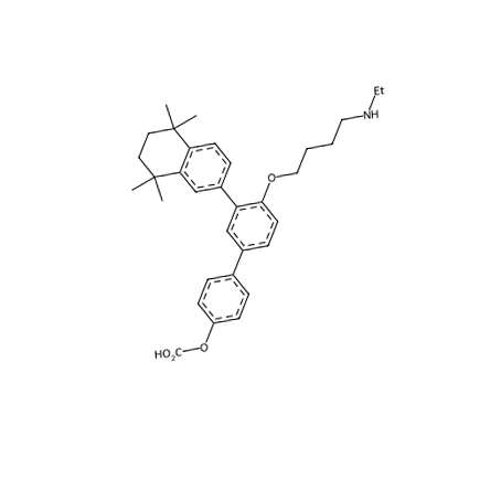 CCNCCCCOc1ccc(-c2ccc(OC(=O)O)cc2)cc1-c1ccc2c(c1)C(C)(C)CCC2(C)C